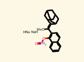 COC(=C1C2CC3CC(C2)CC1C3)c1ccc2ccccc2c1O[PH2]=O.[NaH].[NaH]